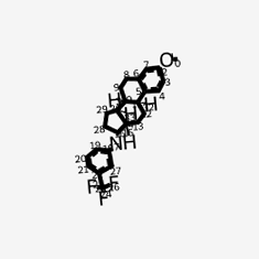 COc1ccc2c(c1)CC[C@@H]1[C@@H]2CC[C@]2(C)[C@@H](Nc3cccc(C(F)(F)F)c3)CC[C@@H]12